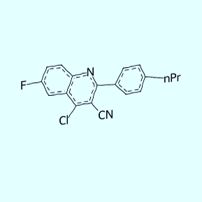 CCCc1ccc(-c2nc3ccc(F)cc3c(Cl)c2C#N)cc1